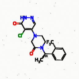 C[C@H](c1ccccc1C(F)(F)F)N1CCN(c2cn[nH]c(=O)c2Cl)CC1=O